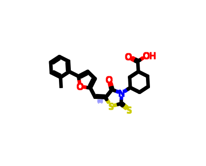 Cc1ccccc1-c1ccc(/C=C2/SC(=S)N(C3CCCC(C(=O)O)C3)C2=O)o1